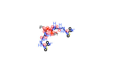 CC(C)OCC1OC(n2cc(/C=C/C(=O)NCCN(C)CCNC(=O)CN3/C(=C/c4cc[n+](C)c5ccccc45)Sc4ccccc43)c(=O)[nH]c2=O)CC1OP(=O)(O)OCC1OC(n2cc(/C=C/C(=O)NCCN(C)CCNC(=O)CN3/C(=C/c4cc[n+](C)c5ccccc45)Sc4ccccc43)c(=O)[nH]c2=O)CC1OP(=O)(O)OC(C)C